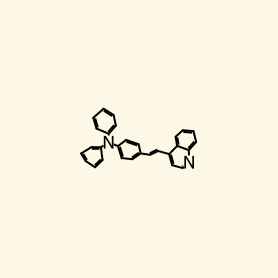 C(=Cc1ccnc2ccccc12)c1ccc(N(c2ccccc2)c2ccccc2)cc1